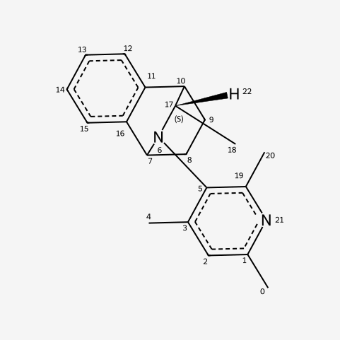 Cc1cc(C)c(N2C3CCC(c4ccccc43)[C@@H]2C)c(C)n1